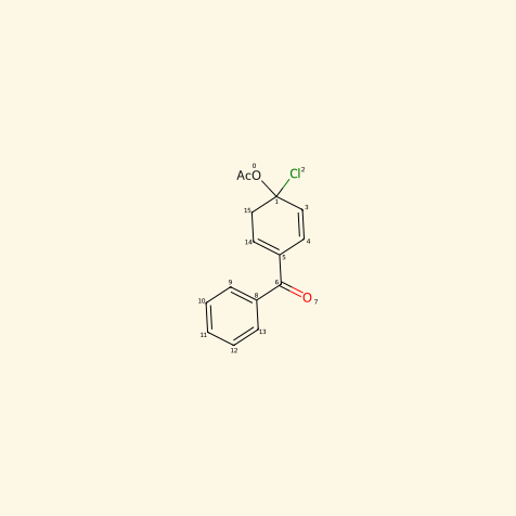 CC(=O)OC1(Cl)C=CC(C(=O)c2ccccc2)=CC1